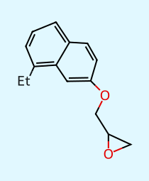 CCc1cccc2ccc(OCC3CO3)cc12